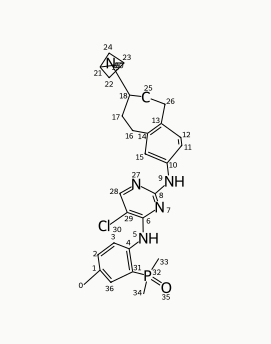 Cc1ccc(Nc2nc(Nc3ccc4c(c3)CCC(N3CC5CC3C5)CC4)ncc2Cl)c(P(C)(C)=O)c1